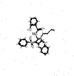 CCCCn1c(NC(=O)c2ccccc2Cl)c(S(=O)(=O)c2ccccc2)c2nc3ccccc3nc21